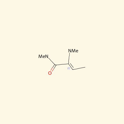 C/C=C(\NC)C(=O)NC